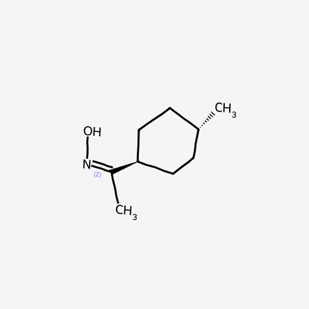 C/C(=N/O)[C@H]1CC[C@H](C)CC1